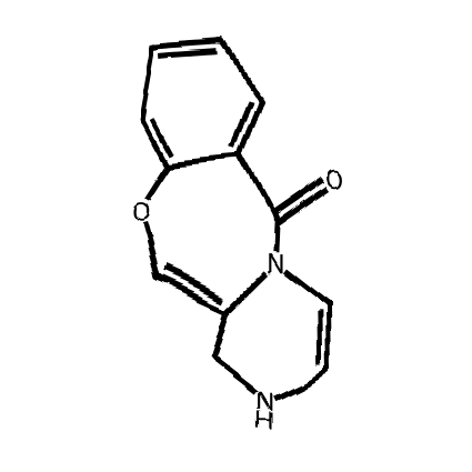 O=C1c2ccccc2OC=C2CNC=CN12